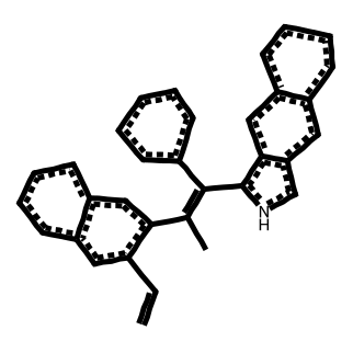 C=Cc1cc2ccccc2cc1/C(C)=C(\c1ccccc1)c1[nH]cc2cc3ccccc3cc12